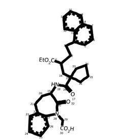 CCOC(=O)C(CCc1cccc2ccccc12)CC1(C(=O)NC2CCc3ccccc3N(CC(=O)O)C2=O)CCCC1